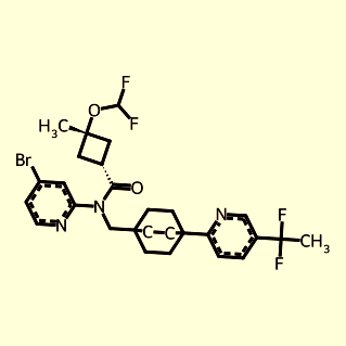 CC(F)(F)c1ccc(C23CCC(CN(c4cc(Br)ccn4)C(=O)[C@H]4C[C@@](C)(OC(F)F)C4)(CC2)CC3)nc1